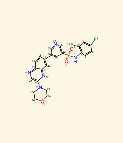 O=S(=O)(Nc1ccc(F)cc1F)c1cncc(-c2ccc3ncc(N4CCOCC4)nc3c2)c1